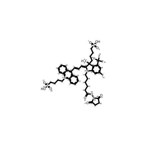 CC1(CCCCS(=O)(=O)O)C(=CC=Cc2c3ccccc3[n+](CCCCS(=O)(=O)O)c3ccccc23)N(CCCCCC(=O)ON2C(=O)CCC2=O)c2cc(F)cc(C(F)(F)F)c21